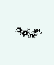 CC(C)(C)C(OC(N)=O)C(=O)Nc1ccc(Oc2cccnc2)cc1